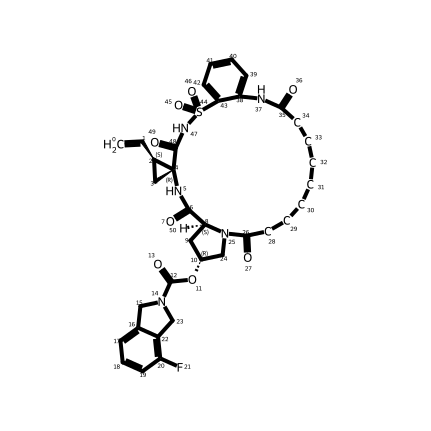 C=C[C@@H]1C[C@@]12NC(=O)[C@@H]1C[C@@H](OC(=O)N3Cc4cccc(F)c4C3)CN1C(=O)CCCCCCCC(=O)Nc1ccccc1S(=O)(=O)NC2=O